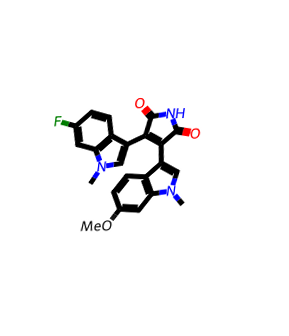 COc1ccc2c(C3=C(c4cn(C)c5cc(F)ccc45)C(=O)NC3=O)cn(C)c2c1